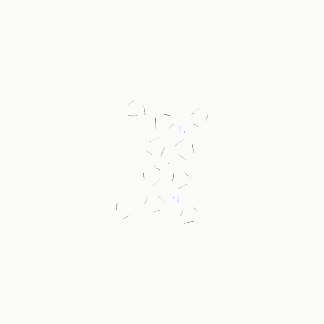 C1=CCC(c2ccc(N(c3ccccc3)c3ccc4c(c3)C(c3ccccc3)(c3ccccc3)c3cc(N(c5ccccc5)c5ccc(-c6ccccc6)cc5)ccc3-4)cc2)C=C1